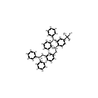 FC(F)(F)c1ccc(NCc2cccc(CP(c3ccccc3)c3ccccc3)n2)c(P(c2ccccc2)c2ccccc2)c1